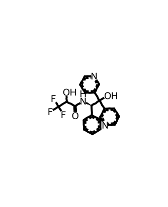 O=C(N[C@H](c1ccccc1)C(O)(c1cccnc1)c1cccnc1)C(O)C(F)(F)F